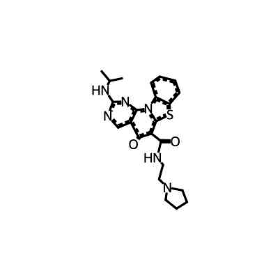 CC(C)Nc1ncc2c(=O)c(C(=O)NCCN3CCCC3)c3sc4ccccc4n3c2n1